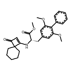 COC(=O)[C@H](Cc1cc(OC)c(-c2ccccc2)c(OC)c1)NC1=CC(=O)C12CCCCC2